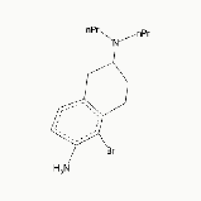 CCCN(CCC)C1CCc2c(ccc(N)c2Br)C1